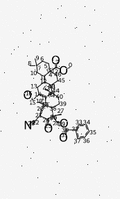 COC(=O)[C@]12CCC(C)(C)CC1C1CC(C=O)=C3[C@@]4(C)C=C(C#N)C(=O)[C@@](C)(COC(=O)c5ccccc5)C4CC[C@@]3(C)[C@]1(C)CC2